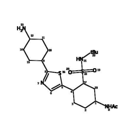 CC(=O)NC1CCC(c2cnc(C3CCC(N)CC3)s2)C(S(=O)(=O)NC(C)(C)C)C1